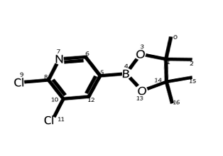 CC1(C)OB(c2cnc(Cl)c(Cl)c2)OC1(C)C